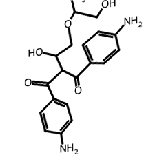 CC(CO)OCC(O)C(C(=O)c1ccc(N)cc1)C(=O)c1ccc(N)cc1